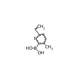 C=Cc1ccc(C)c(B(O)O)n1